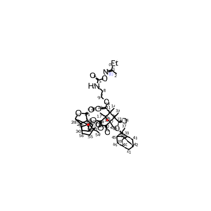 CC/C(C)=N/OC(=O)NCCOC(=O)C(C)(C(C)(C)C(=O)OC1C2CC3C(=O)OC1C3C2)C(C)(C(=O)OC1(C)C2CC3CC(C2)CC1C3)C(C)(C)C(=O)OC1(C)CCCC1